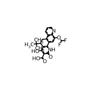 CC(C)(C)C1Cc2c(cc(OC(F)F)c3ncccc23)-c2[nH]c(=O)c(C(=O)O)c(O)c21